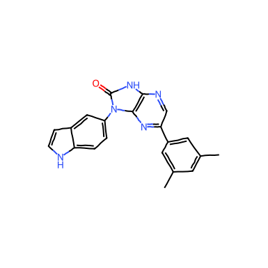 Cc1cc(C)cc(-c2cnc3[nH]c(=O)n(-c4ccc5[nH]ccc5c4)c3n2)c1